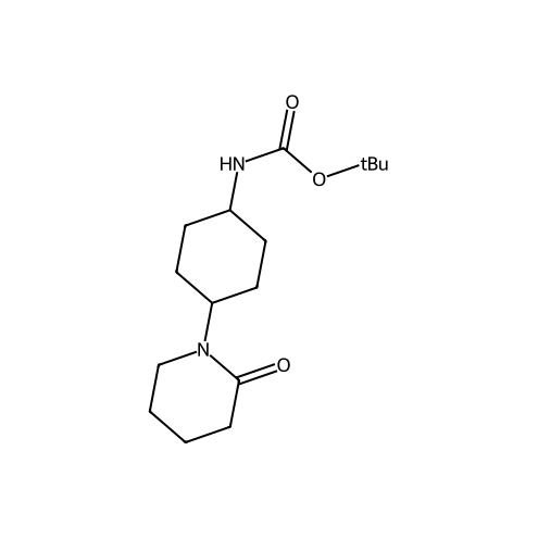 CC(C)(C)OC(=O)NC1CCC(N2CCCCC2=O)CC1